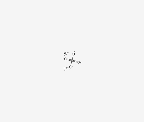 O=S(=O)([O-])[O-].[Cs+].[Rb+]